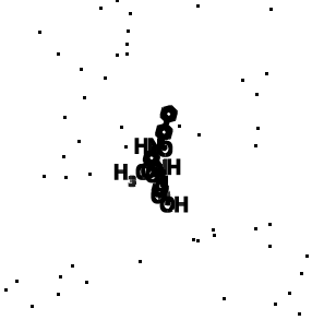 COc1ccc(NC(=O)c2ccc(-c3ccccc3)cc2)cc1NC(=O)CN1CCO[C@@H](CO)C1